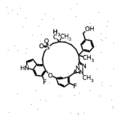 Cn1nc2nc1-c1cc(ccc1F)Oc1c(F)cc3[nH]ccc3c1CCS(=O)(=O)CC(C)(C)CCCC2(C)c1cccc(CO)c1